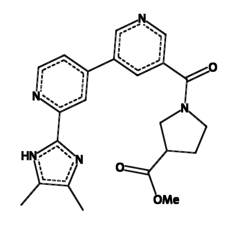 COC(=O)C1CCN(C(=O)c2cncc(-c3ccnc(-c4nc(C)c(C)[nH]4)c3)c2)C1